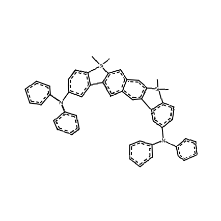 C[Si]1(C)c2ccc(N(c3ccccc3)c3ccccc3)cc2-c2cc3cc4c(cc3cc21)[Si](C)(C)c1ccc(N(c2ccccc2)c2ccccc2)cc1-4